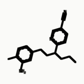 CCCC(CCc1ccc(C)c(N)c1)c1ccc(C#N)cn1